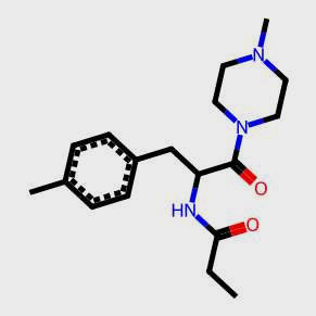 CCC(=O)NC(Cc1ccc(C)cc1)C(=O)N1CCN(C)CC1